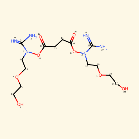 N=C(N)N(CCOCCO)OC(=O)CCC(=O)ON(CCOCCO)C(=N)N